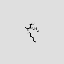 CCCCCOC(C)[C@H](N)[C]=O